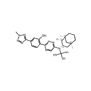 Cn1nnc(-c2ccc(-c3ncc(N([C@H]4C[C@]5(C)CCC[C@@](C)(C5)[C@H]4F)C(S)(S)S)nn3)c(O)c2)n1